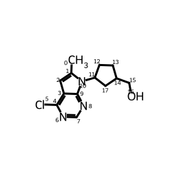 Cc1cc2c(Cl)ncnc2n1C1CCC(CO)C1